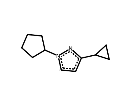 [c]1cc(C2CC2)nn1C1CCCC1